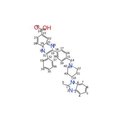 Cc1nc2ccccc2n1C1CCN(Cc2ccc(-c3nc4cc(C(=O)O)ccc4nc3-c3ccccc3)cc2)CC1